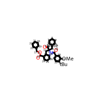 COC(=O)C1(Cc2ccccc2)Cc2c(C(=O)OCc3ccccc3)cccc2N1C(=O)c1ccc(C(C)(C)C)c(OC)c1